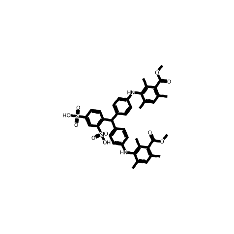 COC(=O)c1c(C)cc(C)c(Nc2ccc(C(c3ccc(Nc4c(C)cc(C)c(C(=O)OC)c4C)cc3)c3ccc(S(=O)(=O)O)cc3S(=O)(=O)O)cc2)c1C